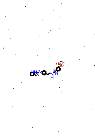 CS(=O)(=O)c1ccc2nc(NCCc3ccc(/N=C4/NC5(CCCC5)CS4)cc3)sc2c1